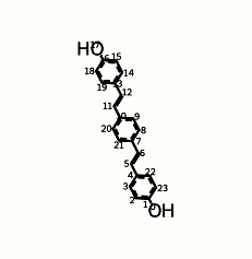 Oc1ccc(C=Cc2ccc(C=Cc3ccc(O)cc3)cc2)cc1